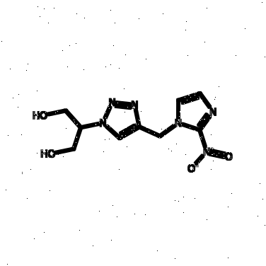 O=[N+]([O-])c1nccn1Cc1cn(C(CO)CO)nn1